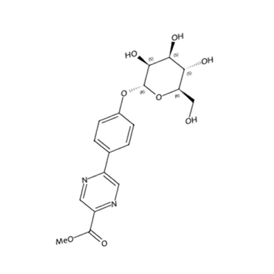 COC(=O)c1cnc(-c2ccc(O[C@H]3O[C@H](CO)[C@@H](O)[C@H](O)[C@@H]3O)cc2)cn1